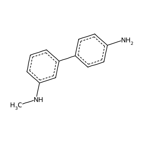 CNc1cccc(-c2ccc(N)cc2)c1